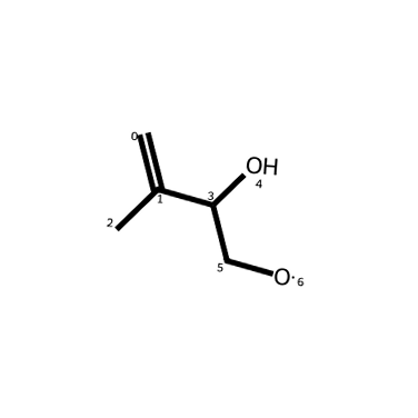 C=C(C)C(O)C[O]